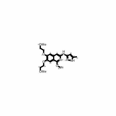 COCCOc1cc2cc(Nc3cc(C)[nH]n3)nc(OC(C)C)c2cc1OCCOC